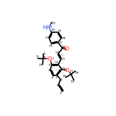 C=CCc1ccc(OC(C)(C)C)c(/C=C/C(=O)c2ccc(NC)cc2)c1OC(C)(C)C